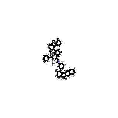 CC1(C)c2cc3ccccc3cc2-c2c(-c3cccc(/C=C/C(NC(N)c4ccccc4)c4cccc(-c5cccc6sc7ccccc7c56)c4)c3)cccc21